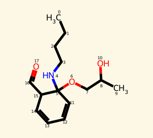 CCCCNC1(OCC(C)O)C=CC=CC1C=O